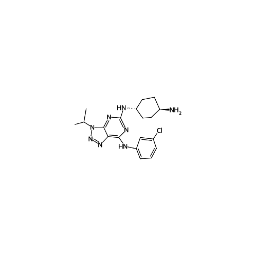 CC(C)n1nnc2c(Nc3cccc(Cl)c3)nc(N[C@H]3CC[C@H](N)CC3)nc21